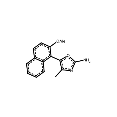 COc1ccc2ccccc2c1-c1oc(N)nc1C